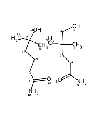 CC(C)(CO)CCC(N)=O.CC(C)(O)CCCC(N)=O